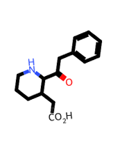 O=C(O)CC1CCCNC1C(=O)Cc1ccccc1